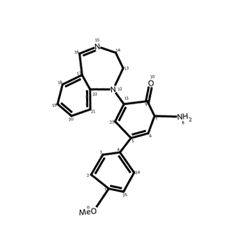 COc1ccc(C2=CC(N)C(=O)C(N3CCN=Cc4ccccc43)=C2)cc1